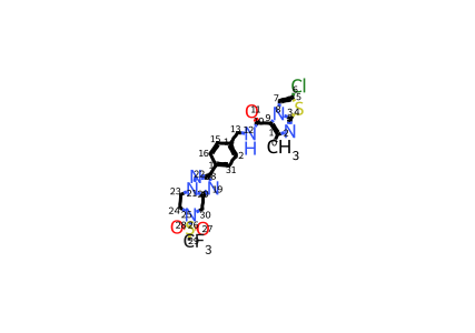 Cc1nc2sc(Cl)cn2c1C(=O)NCc1ccc(-c2nc3n(n2)CCN(S(=O)(=O)C(F)(F)F)C3)cc1